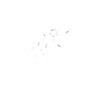 CC(C)(C)C1=CC(C(=O)c2c[nH]c(SC#N)c2SC#N)C=CC1(O)C(C)(C)C